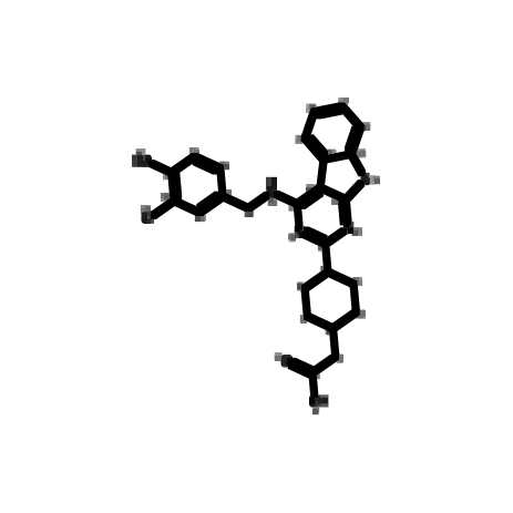 O=C(O)CC1CCC(c2nc(NCc3ccc(O)c(Cl)c3)c3c(n2)sc2ccccc23)CC1